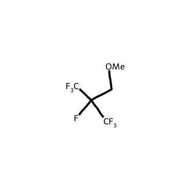 COCC(F)(C(F)(F)F)C(F)(F)F